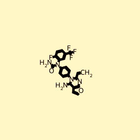 C=CC1=Nc2occc2C(N)N1c1ccc(N(C(N)=O)c2cc(C(F)(F)F)ccc2F)cc1